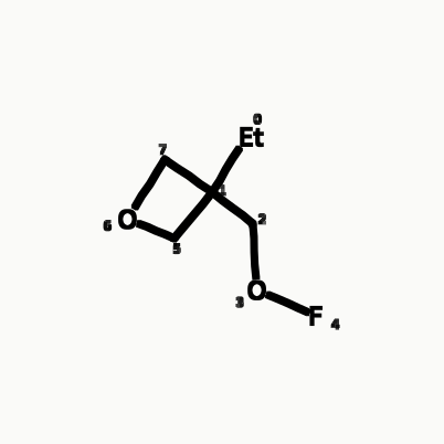 CCC1(COF)COC1